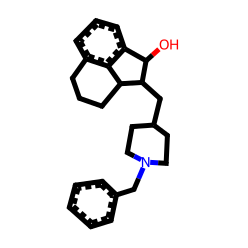 OC1c2cccc3c2C(CCC3)C1CC1CCN(Cc2ccccc2)CC1